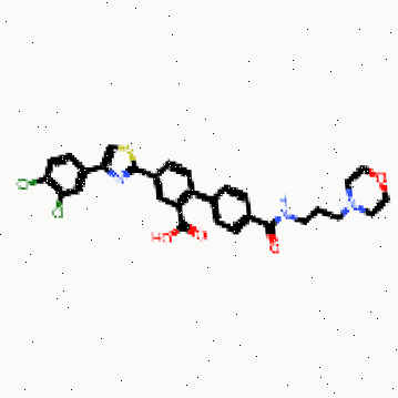 O=C(NCCCN1CCOCC1)c1ccc(-c2ccc(-c3nc(-c4ccc(Cl)c(Cl)c4)cs3)cc2C(=O)O)cc1